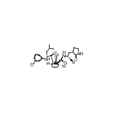 CC(C)C[C@H](Nc1cccc(Cl)c1)C(=O)N1[C@@H]2CC[C@H]([C@H]1C(=O)N[C@H](C#N)C[C@H]1CCNC1=O)C(F)(F)C2